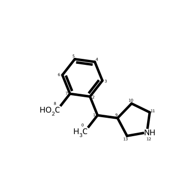 CC(c1ccccc1C(=O)O)C1CCNC1